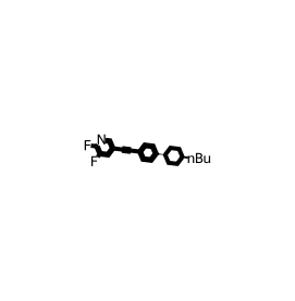 CCCC[C@H]1CC[C@H](c2ccc(C#Cc3cnc(F)c(F)c3)cc2)CC1